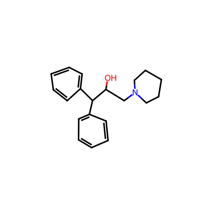 OC(CN1CCCCC1)C(c1ccccc1)c1ccccc1